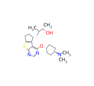 CC(C[C@H]1CCc2sc3ncnc(O[C@H]4CC[C@H](N(C)C)CC4)c3c21)[C@H](C)O